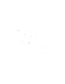 C[C@H]1C[C@@H](N(C)C(=O)O)CN(c2ccc(C#N)c3ncccc23)C1